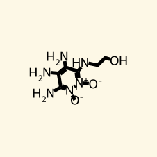 Nc1c(N)c(NCCO)[n+]([O-])[n+]([O-])c1N